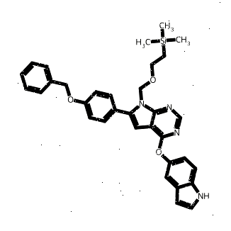 C[Si](C)(C)CCOCn1c(-c2ccc(OCc3ccccc3)cc2)cc2c(Oc3ccc4[nH]ccc4c3)ncnc21